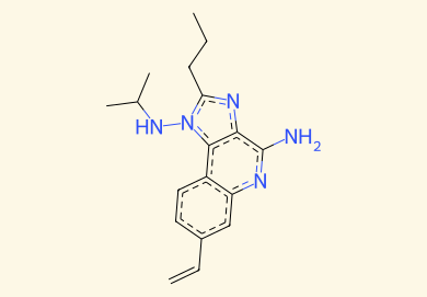 C=Cc1ccc2c(c1)nc(N)c1nc(CCC)n(NC(C)C)c12